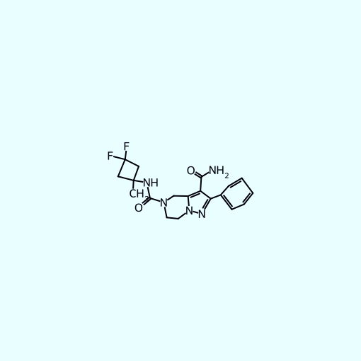 CC1(NC(=O)N2CCn3nc(-c4ccccc4)c(C(N)=O)c3C2)CC(F)(F)C1